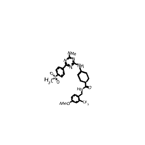 CNc1nc(NC2CCC(C(=O)NCc3ccc(OC)cc3C(F)(F)F)CC2)nc(-c2ccc(S(C)(=O)=O)cc2)n1